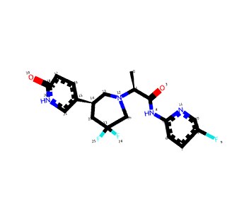 C[C@@H](C(=O)Nc1ccc(F)cn1)N1C[C@H](c2ccc(=O)[nH]c2)CC(F)(F)C1